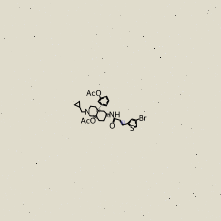 CC(=O)Oc1cccc([C@@]23CCN(CC4CC4)C[C@@]2(OC(C)=O)CC[C@H](NC(=O)/C=C/c2cc(Br)cs2)C3)c1